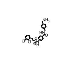 NCc1ccc(CNC(=O)c2ccc(NS(=O)(=O)CCc3cccc(Cl)c3Cl)cc2)cc1